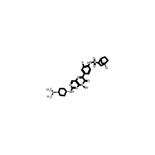 CC(C)n1c(=O)c(-c2ccc(NS(=O)(=O)C3C[C@H]4CCC3C4)c(F)c2)nc2cnc(N[C@H]3CC[C@H](N(C)C)CC3)nc21